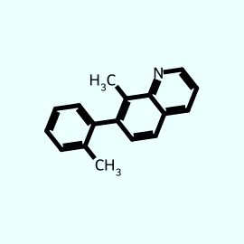 Cc1ccccc1-c1ccc2cccnc2c1C